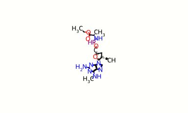 C#C[C@H]1C[C@@H](COPNC(C)C(=O)OCC)O[C@H]1n1cnc2c(NC)nc(N)nc21